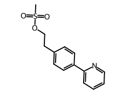 CS(=O)(=O)OCCc1ccc(-c2ccccn2)cc1